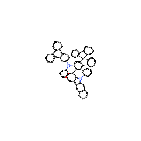 c1ccc(N(c2ccc3c4ccccc4c4ccccc4c3c2)c2cc3c(cc2-c2cccc4c5cc6ccccc6cc5n(-c5ccccc5)c24)-c2ccccc2C32c3ccccc3-c3ccccc32)cc1